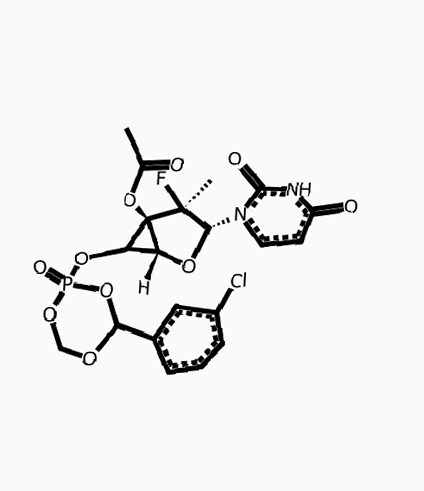 CC(=O)O[C@]12C(OP3(=O)OCOC(c4cccc(Cl)c4)O3)[C@H]1O[C@@H](n1ccc(=O)[nH]c1=O)[C@]2(C)F